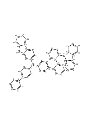 c1ccc(-c2ccc(N(c3ccc(-c4ccccc4-c4ccccc4-n4c5ccccc5c5ccccc54)cc3)c3ccc4c(c3)sc3ccccc34)cc2)cc1